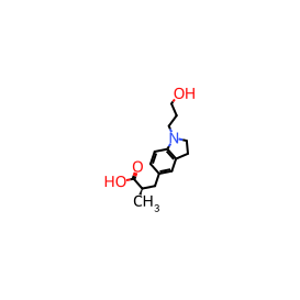 C[C@H](Cc1ccc2c(c1)CCN2CCCO)C(=O)O